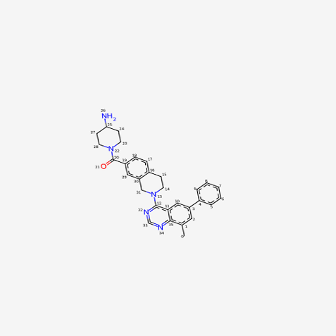 Cc1cc(-c2ccccc2)cc2c(N3CCc4ccc(C(=O)N5CCC(N)CC5)cc4C3)ncnc12